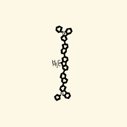 CC1(C)c2cc(-c3ccc4cc(-c5ccc6c(c5)c5ccccc5n6-c5ccccc5)ccc4c3)ccc2-c2ccc(-c3ccc4cc(-c5ccc6c(c5)c5ccccc5n6-c5ccccc5)ccc4c3)cc21